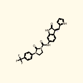 O=C1Nc2cc(NC(=O)N3CCN(c4ccc(C(F)(F)F)cc4)C3=O)ccc2/C1=C/c1ccc[nH]1